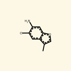 Cc1coc2cc(N)c(Cl)cc12